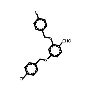 O=Cc1ccc(SCc2ccc(Cl)cc2)cc1SCc1ccc(Cl)cc1